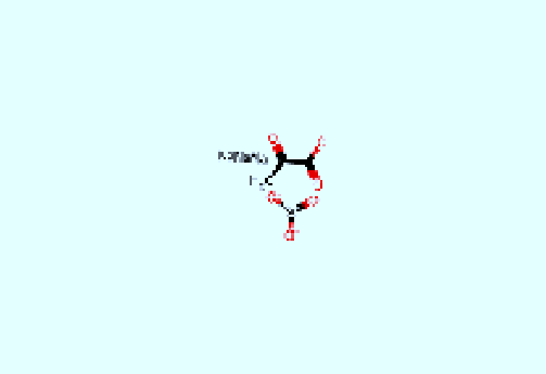 CC(=O)C(=O)[O-].O=[Se]([O-])[O-].[Na+].[Na+].[Na+]